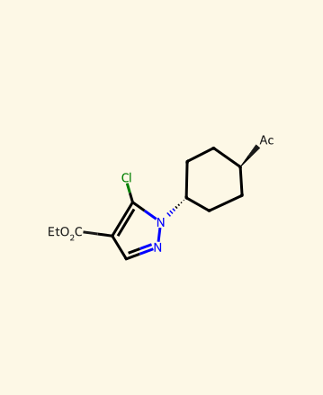 CCOC(=O)c1cnn([C@H]2CC[C@H](C(C)=O)CC2)c1Cl